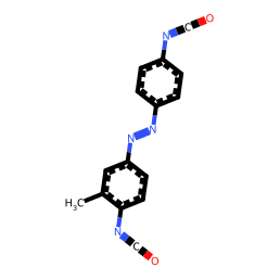 Cc1cc(/N=N/c2ccc(N=C=O)cc2)ccc1N=C=O